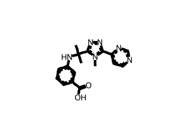 Cn1c(-c2ccncn2)nnc1C(C)(C)Nc1cccc(C(=O)O)c1